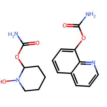 NC(=O)OC1CCCCN1O.NC(=O)Oc1cccc2cccnc12